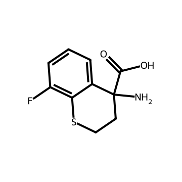 NC1(C(=O)O)CCSc2c(F)cccc21